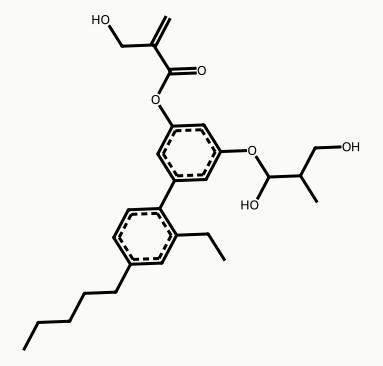 C=C(CO)C(=O)Oc1cc(OC(O)C(C)CO)cc(-c2ccc(CCCCC)cc2CC)c1